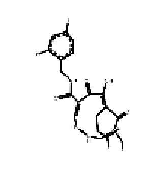 CCN1CNN/C=C(/C(=O)NCc2ccc(F)cc2F)C(=O)/C(O)=C(\CCC(C)C)C1=O